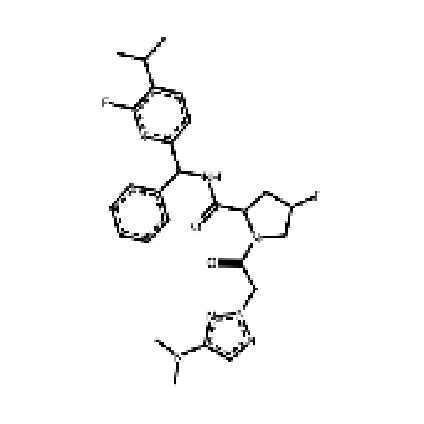 CC(C)c1ccc(C(NC(=O)C2CC(F)CN2C(=O)Cn2ncc(N(C)C)n2)c2ccccc2)nc1F